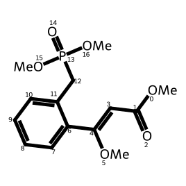 COC(=O)C=C(OC)c1ccccc1CP(=O)(OC)OC